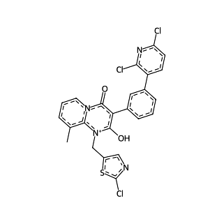 Cc1cccn2c(=O)c(-c3cccc(-c4ccc(Cl)nc4Cl)c3)c(O)[n+](Cc3cnc(Cl)s3)c12